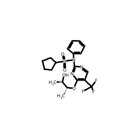 C[C@@H](O)[C@@H](C)Oc1nc(N(c2ccccc2)S(=O)(=O)C2CCCC2)ncc1C(F)(F)F